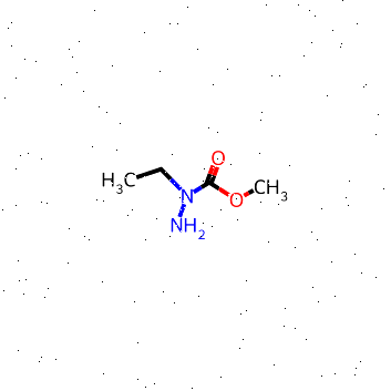 CCN(N)C(=O)OC